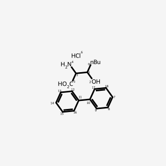 CCCCC(O)C(N)C(=O)O.Cl.c1ccc(-c2ccccc2)cc1